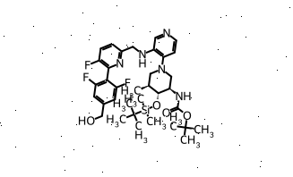 C[C@H]1CN(c2ccncc2NCc2ccc(F)c(-c3c(F)cc(CO)cc3F)n2)C[C@@H](NC(=O)OC(C)(C)C)[C@@H]1O[Si](C)(C)C(C)(C)C